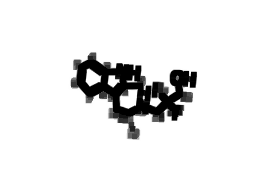 Cc1[nH]c2ccccc2c1C[C@@H](C)NCC(F)(F)CO